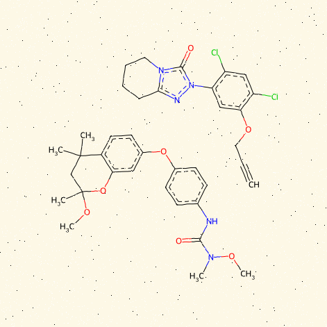 C#CCOc1cc(-n2nc3n(c2=O)CCCC3)c(Cl)cc1Cl.CON(C)C(=O)Nc1ccc(Oc2ccc3c(c2)OC(C)(OC)CC3(C)C)cc1